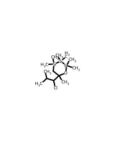 CC(C)C(Cl)C1(C)C[Si](C)(C)[Si](C)(C)[Si](C)(C)O1